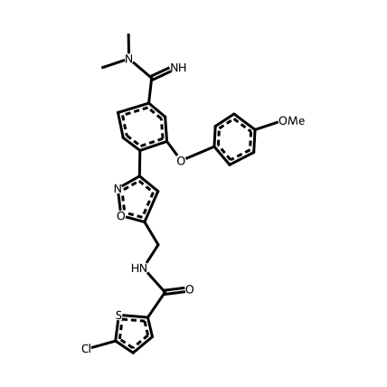 COc1ccc(Oc2cc(C(=N)N(C)C)ccc2-c2cc(CNC(=O)c3ccc(Cl)s3)on2)cc1